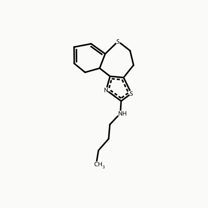 CCCCNc1nc2c(s1)CCSC1=CC=CCC12